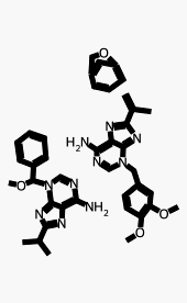 C=C(C)c1nc2c(N)ncn(Cc3ccc(OC)c(OC)c3)c-2n1.COC(c1ccccc1)n1cnc(N)c2nc(C(C)C)nc1-2.c1cc2cc(c1)OC2